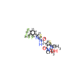 CN1C(=O)c2c(CC(=O)Nc3nc(-c4ccc(F)c(C(F)(F)F)c4F)cs3)csc2N(C)C1O